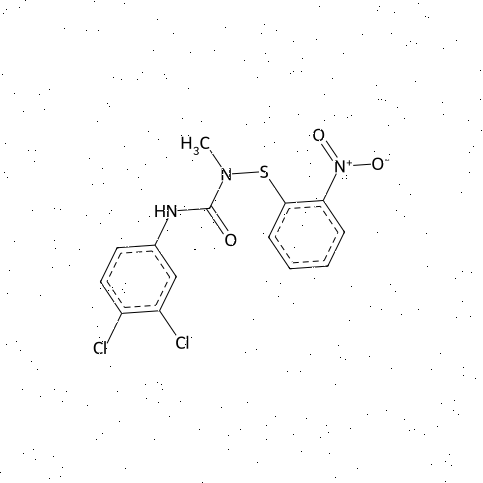 CN(Sc1ccccc1[N+](=O)[O-])C(=O)Nc1ccc(Cl)c(Cl)c1